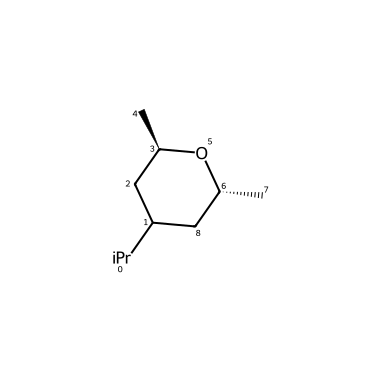 CC(C)C1C[C@@H](C)O[C@H](C)C1